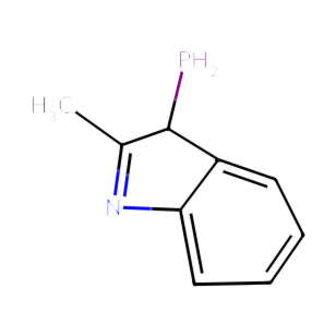 CC1=Nc2ccccc2C1P